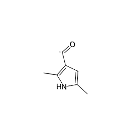 Cc1cc([C]=O)c(C)[nH]1